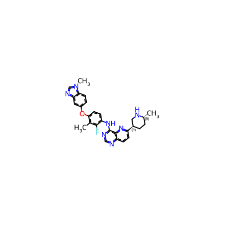 Cc1c(Oc2ccc3c(c2)ncn3C)ccc(Nc2ncnc3ccc([C@@H]4CC[C@@H](C)NC4)nc23)c1F